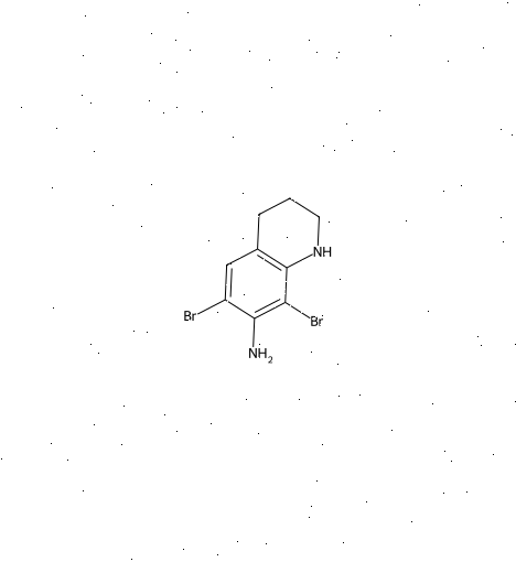 Nc1c(Br)cc2c(c1Br)NCCC2